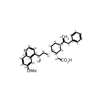 C=C(Cc1ccccc1)N1CC[C@@H](CC[C@H](F)c2ccnc3ccc(OC)cc23)[C@@H](CC(=O)O)C1